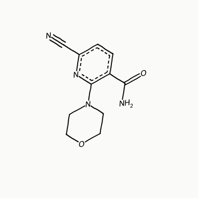 N#Cc1ccc(C(N)=O)c(N2CCOCC2)n1